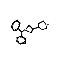 c1ccc(C(c2ccccc2)N2CC(C3CCNCC3)C2)cc1